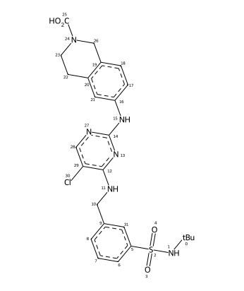 CC(C)(C)NS(=O)(=O)c1cccc(CNc2nc(Nc3ccc4c(c3)CCN(C(=O)O)C4)ncc2Cl)c1